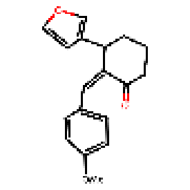 COc1ccc(C=C2C(=O)CCCC2c2ccoc2)cc1